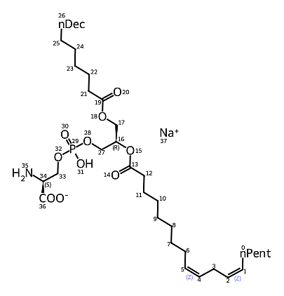 CCCCC/C=C\C/C=C\CCCCCCCC(=O)O[C@H](COC(=O)CCCCCCCCCCCCCCC)COP(=O)(O)OC[C@H](N)C(=O)[O-].[Na+]